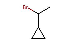 CC(Br)C1CC1